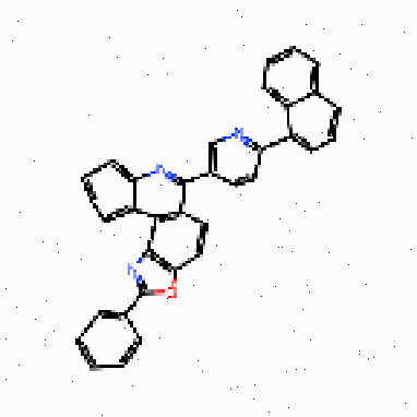 c1ccc(-c2nc3c(ccc4c(-c5ccc(-c6cccc7ccccc67)nc5)nc5ccccc5c43)o2)cc1